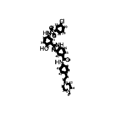 CN1CCN(CCc2ccc(NC(=O)c3ccc4[nH]c(-c5cc(NS(=O)(=O)c6cccc(Cl)c6)ccc5O)nc4c3)cc2)CC1